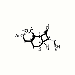 CC(=O)OCC1=C(C(=O)O)N2C(=O)[C@H](CS)[C@H]2SC1